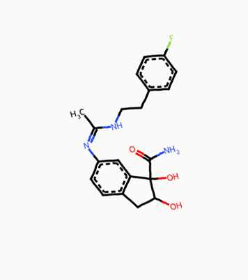 CC(=Nc1ccc2c(c1)C(O)(C(N)=O)C(O)C2)NCCc1ccc(F)cc1